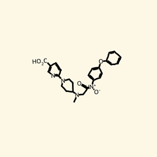 CN(CC(=O)[NH+]([O-])c1ccc(Oc2ccccc2)cc1)C1CCN(c2ccc(C(=O)O)cn2)CC1